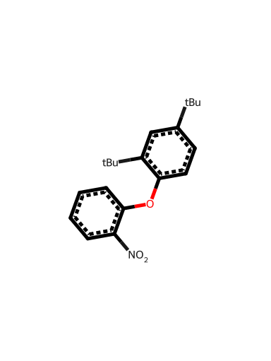 CC(C)(C)c1ccc(Oc2ccccc2[N+](=O)[O-])c(C(C)(C)C)c1